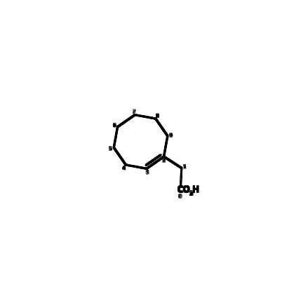 O=C(O)CC1=CCCCCCC1